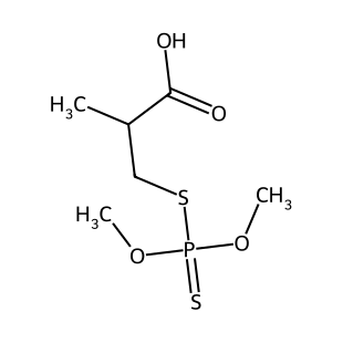 COP(=S)(OC)SCC(C)C(=O)O